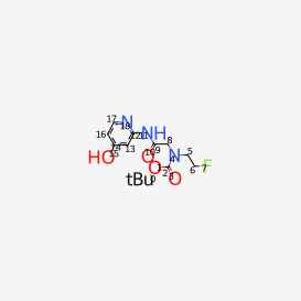 CC(C)(C)OC(=O)N(CCF)CC(=O)Nc1cc(O)ccn1